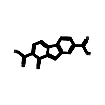 CC(C)C(=O)C1=CC=C2C(=Cc3cc(C(=O)C(C)C)ccc32)C1=O